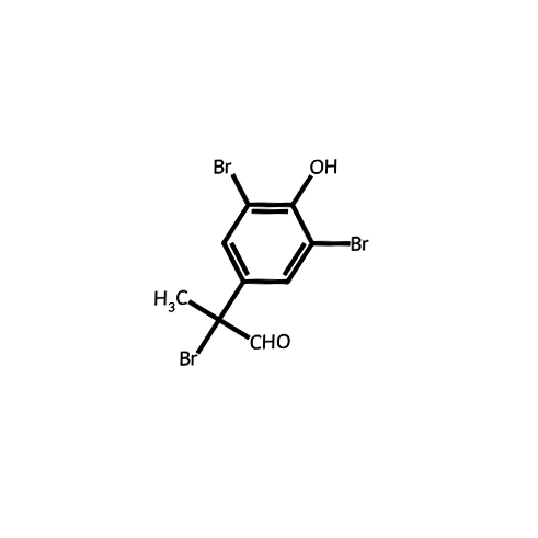 CC(Br)(C=O)c1cc(Br)c(O)c(Br)c1